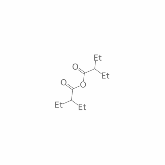 CCC(CC)C(=O)OC(=O)C(CC)CC